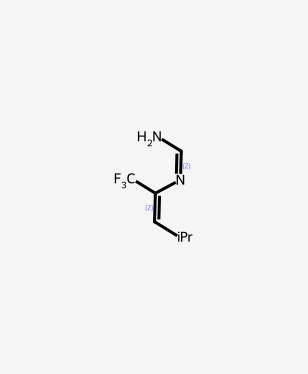 CC(C)/C=C(\N=C/N)C(F)(F)F